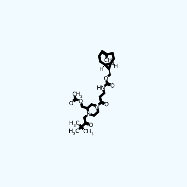 CC(=O)OCC1CN(C(=O)CCNC(=O)OC[C@@H]2[C@@H]3CC/C(C)=C/CC[C@@H]32)CCN1CC(=O)C(C)(C)C